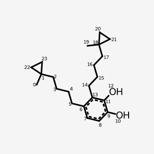 CC1(CCCCc2ccc(O)c(O)c2CCCCC2(C)CC2)CC1